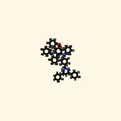 c1ccc(-c2cc(-c3ccccc3)nc(-c3ccc(-n4c5ccccc5c5c6oc7ccccc7c6c6c(c7ccccc7n6-c6ccccc6)c54)cc3)n2)cc1